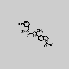 Cc1sc(C(=O)N(Cc2cccc(O)c2)C(C)(C)C)nc1-c1ccc2c(c1)CCN2C(=O)C1CC1